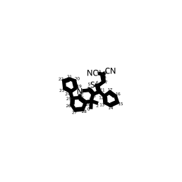 CC1(C)c2c(sc(C=C(C#N)C#N)c2-c2ccccc2)-n2c3ccccc3c3cccc1c32